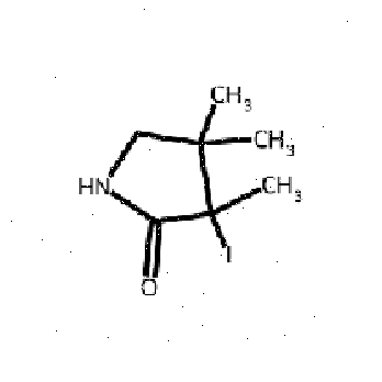 CC1(C)CNC(=O)C1(C)I